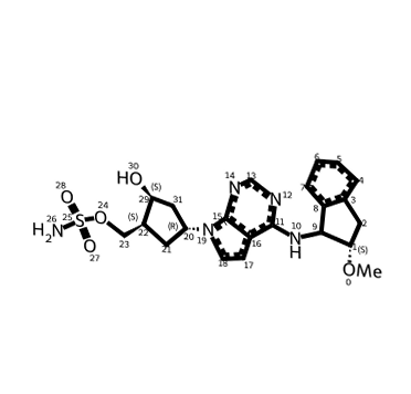 CO[C@H]1Cc2ccccc2C1Nc1ncnc2c1ccn2[C@@H]1C[C@@H](COS(N)(=O)=O)[C@@H](O)C1